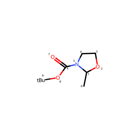 CC1OCCN1C(=O)OC(C)(C)C